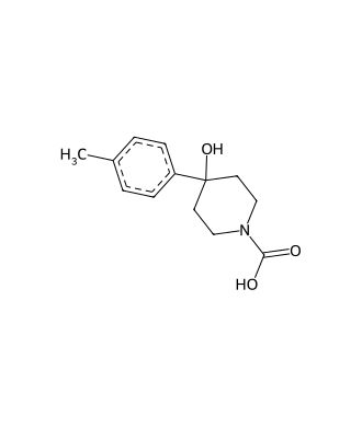 Cc1ccc(C2(O)CCN(C(=O)O)CC2)cc1